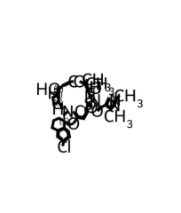 Cc1nn(C)cc1C(=O)N[S@@]1(=O)=NC(=O)C(C)(C)OCC=C[C@H](O)[C@@H]2CC[C@H]2CN2C[C@@]3(CCCc4cc(Cl)ccc43)COc3ccc1cc32